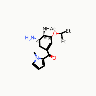 CCC(CC)O[C@@H]1C=C(C(=O)c2cccn2C)C[C@H](N)[C@H]1NC(C)=O